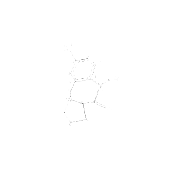 CN1C(=O)C2CCCN2Cc2cc(Br)ccc21